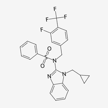 O=S(=O)(c1ccccc1)N(Cc1ccc(C(F)(F)F)c(F)c1)c1nc2ccccc2n1CC1CC1